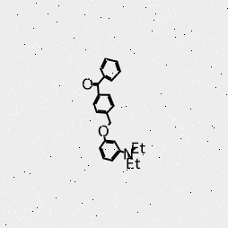 CCN(CC)c1cccc(OCc2ccc(C(=O)c3ccccc3)cc2)c1